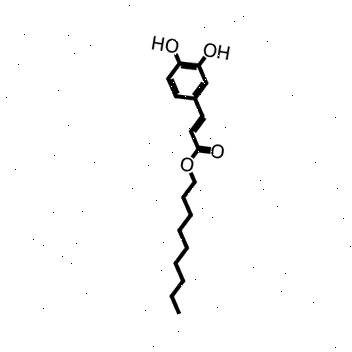 CCCCCCCCCOC(=O)C=Cc1ccc(O)c(O)c1